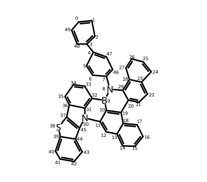 c1ccc(-c2ccc(N3B4c5c(cc6ccccc6c5-c5ccc6ccccc6c53)-n3c5c4cccc5c4sc5ccccc5c43)cc2)cc1